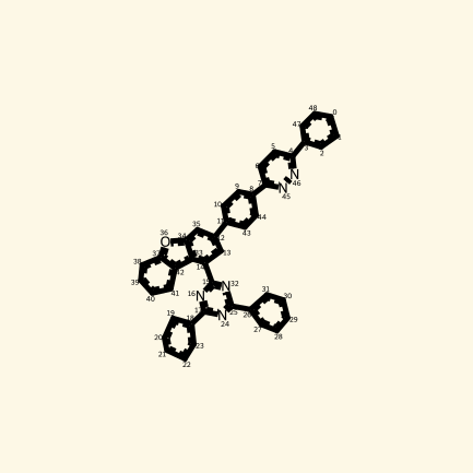 c1ccc(-c2ccc(-c3ccc(-c4cc(-c5nc(-c6ccccc6)nc(-c6ccccc6)n5)c5c(c4)oc4ccccc45)cc3)nn2)cc1